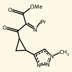 COC(=O)C(=NC(C)C)C(=O)C1CC1c1cn(C)nn1